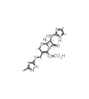 Cc1nnc(SCC2=C(OC(=O)O)N3C(=O)C(Nc4ncc[nH]4)[C@@H]3SC2)s1